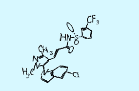 Cc1nn(C)c(-n2ccc3cc(Cl)ccc32)c1C=CC(=O)NS(=O)(=O)c1cccc(C(F)(F)F)c1